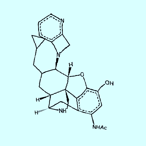 CC(=O)Nc1cc(O)c2c3c1C[C@H]1NCC[C@]34[C@H]1CC(CC1CC1)[C@@H](N1Cc3ncccc31)[C@@H]4O2